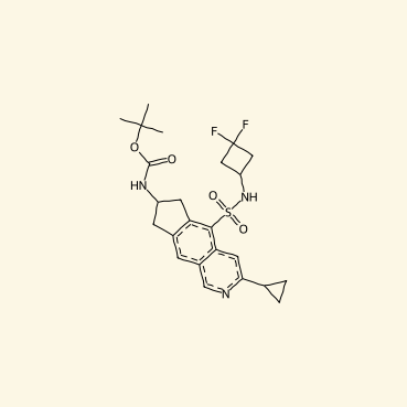 CC(C)(C)OC(=O)NC1Cc2cc3cnc(C4CC4)cc3c(S(=O)(=O)NC3CC(F)(F)C3)c2C1